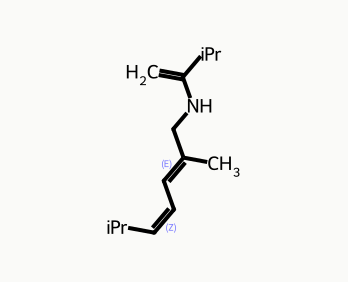 C=C(NC/C(C)=C/C=C\C(C)C)C(C)C